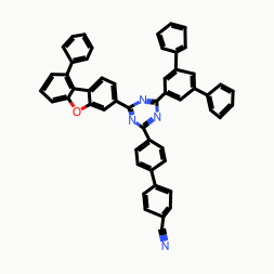 N#Cc1ccc(-c2ccc(-c3nc(-c4cc(-c5ccccc5)cc(-c5ccccc5)c4)nc(-c4ccc5c(c4)oc4cccc(-c6ccccc6)c45)n3)cc2)cc1